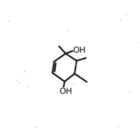 CC1C(O)C=CC(C)(O)C1C